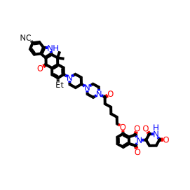 CCc1cc2c(cc1N1CCC(N3CCN(C(=O)CCCCCOc4cccc5c4C(=O)N(C4CCC(=O)NC4=O)C5=O)CC3)CC1)C(C)(C)c1[nH]c3cc(C#N)ccc3c1C2=O